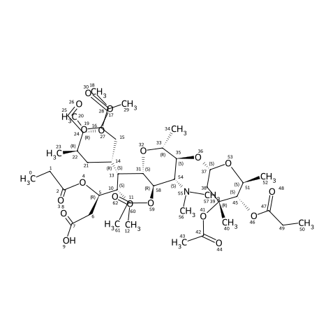 CCC(=O)O[C@H](CC(=O)O)[C@@H](OC)[C@H]([C@@H](CC(OC)OC)C[C@@H](C)[C@H](C=O)OC(C)=O)[C@@H]1O[C@H](C)[C@@H](O[C@H]2C[C@@](C)(OC(C)=O)[C@@H](OC(=O)CC)[C@H](C)O2)[C@H](N(C)C)[C@H]1OC(C)=O